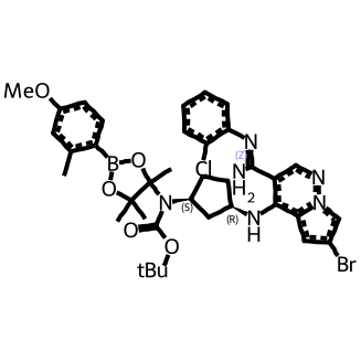 COc1ccc(B2OC(C)(C)C(C)(N(C(=O)OC(C)(C)C)[C@H]3CC[C@@H](Nc4c(/C(N)=N/c5ccccc5Cl)cnn5cc(Br)cc45)C3)O2)c(C)c1